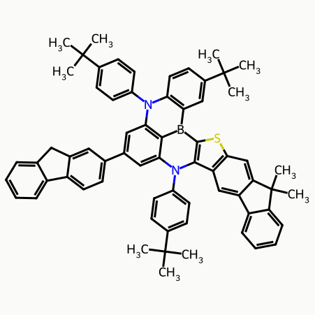 CC(C)(C)c1ccc(N2c3ccc(C(C)(C)C)cc3B3c4sc5cc6c(cc5c4N(c4ccc(C(C)(C)C)cc4)c4cc(-c5ccc7c(c5)Cc5ccccc5-7)cc2c43)-c2ccccc2C6(C)C)cc1